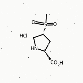 CS(=O)(=O)[C@H]1CN[C@H](C(=O)O)C1.Cl